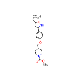 CC(C)(C)OC(=O)N1CCC(COc2ccc(C3CC(CC(=O)O)ON3)cc2)CC1